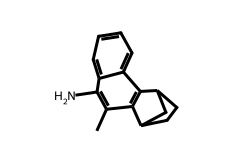 Cc1c2c(c3ccccc3c1N)C1CCC2C1